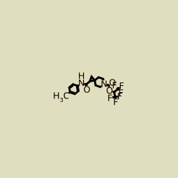 Cc1ccc(NC(=O)C2CC23CCN(C(=O)OC(C(F)(F)F)C(F)(F)F)CC3)cc1